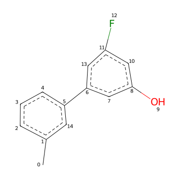 Cc1cccc(-c2cc(O)cc(F)c2)c1